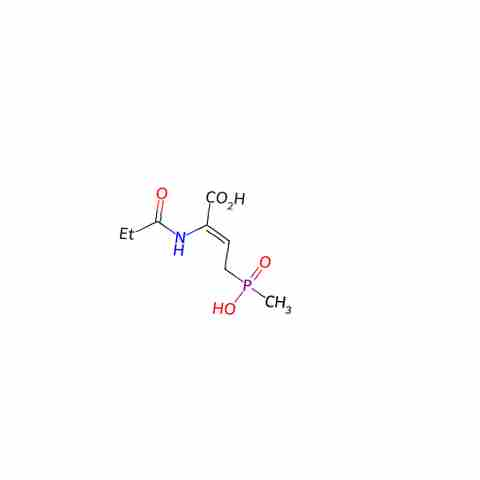 CCC(=O)N/C(=C\CP(C)(=O)O)C(=O)O